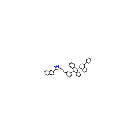 N/C(=C\C=C/Cc1cccc(-c2c3ccccc3c(C3=c4ccccc4=C(c4ccccc4)CC3)c3ccccc23)c1)c1ccc2ccccc2c1